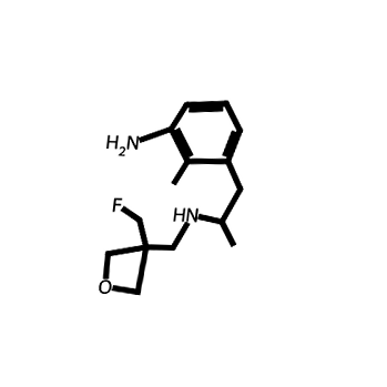 Cc1c(N)cccc1CC(C)NCC1(CF)COC1